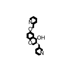 O[C@H]1c2cc(OCc3ccccn3)ccc2OC[C@H]1Cc1cccnc1